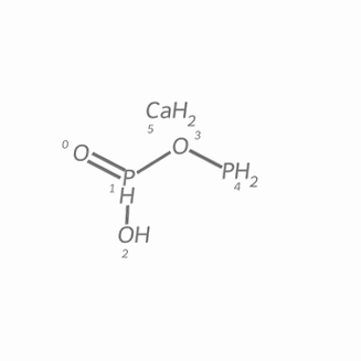 O=[PH](O)OP.[CaH2]